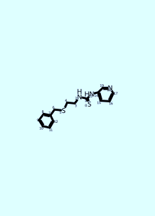 S=C(NCCSCc1ccccc1)Nc1cccnc1